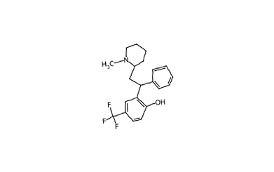 CN1CCCCC1CC(c1ccccc1)c1cc(C(F)(F)F)ccc1O